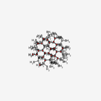 BBB(B(B)B)B(B(B(B)B)B(B)B)B(B(B(B)B)B(B)B)B(B(B(B(B(B)B)B(B)B)B(B(B)B)B(B)B)B(B(B(B)B)B(B)B)B(B(B)B)B(B)B)B(B(B(B(B(B)B)B(B)B)B(B(B)B)B(B)B)B(B(B(B)B)B(B)B)B(B(B)B)B(B)B)B(B(B(B(B)B)B(B)B)B(B(B)B)B(B)B)B(B(B(B)B)B(B)B)B(B(B)B)B(B)B